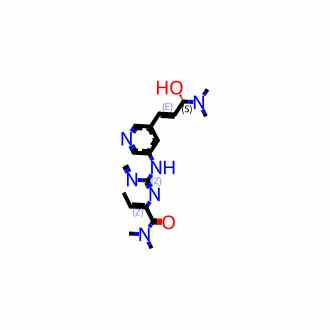 C=N/C(=N\C(=C/C)C(=O)N(C)C)Nc1cncc(/C=C/[C@H](O)N(C)C)c1